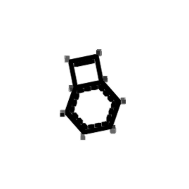 [c]1ccc2c(c1)C=C2